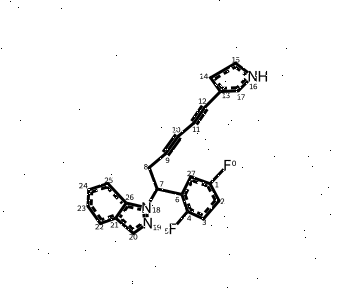 Fc1ccc(F)c(C(CC#CC#Cc2cc[nH]c2)n2ncc3ccccc32)c1